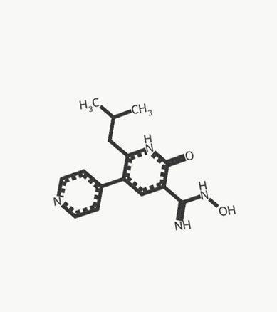 CC(C)Cc1[nH]c(=O)c(C(=N)NO)cc1-c1ccncc1